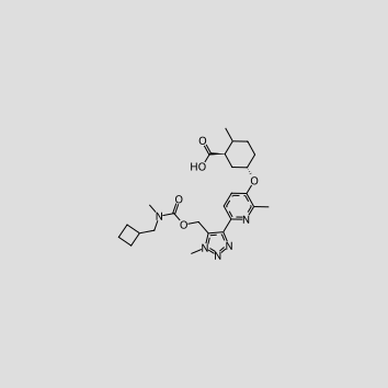 Cc1nc(-c2nnn(C)c2COC(=O)N(C)CC2CCC2)ccc1O[C@H]1CCC(C)[C@H](C(=O)O)C1